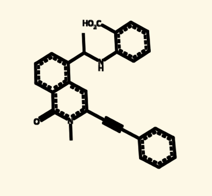 CC(Nc1ccccc1C(=O)O)c1cccc2c(=O)n(C)c(C#Cc3ccccc3)cc12